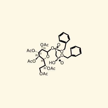 CC(=O)OC[C@@H](OC(C)=O)[C@H]1OC(OP(=O)(CP(=O)(O)OCc2ccccc2)OCc2ccccc2)[C@@H](OC(C)=O)[C@@H](OC(C)=O)[C@@H]1OC(C)=O